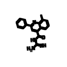 Cc1cccc2c(C(=O)NC(=N)N)cc(-c3ccccc3)nc12